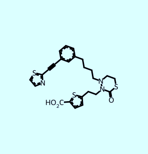 O=C(O)c1ccc(CCN2C(=O)SCCN2CCCCc2cccc(C#Cc3nccs3)c2)s1